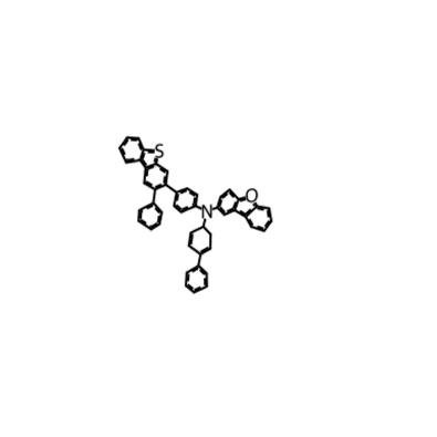 C1=CC(N(c2ccc(-c3cc4sc5ccccc5c4cc3-c3ccccc3)cc2)c2ccc3oc4ccccc4c3c2)CC=C1c1ccccc1